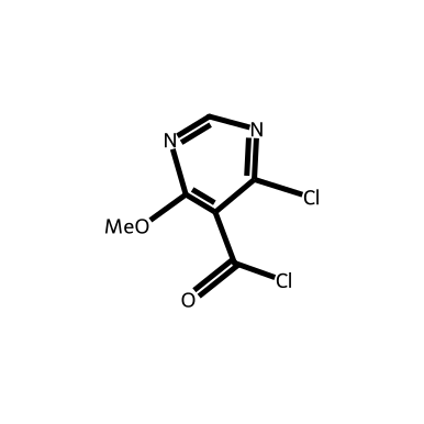 COc1ncnc(Cl)c1C(=O)Cl